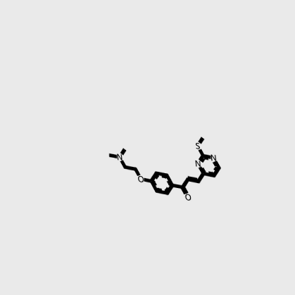 CSc1nccc(C=CC(=O)c2ccc(OCCN(C)C)cc2)n1